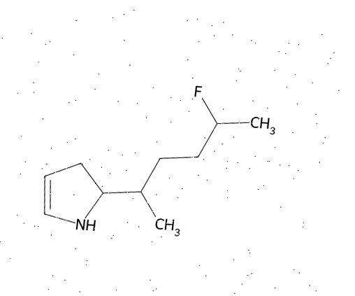 CC(F)CCC(C)C1CC=CN1